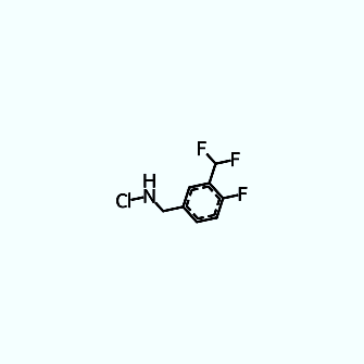 Fc1ccc(CNCl)cc1C(F)F